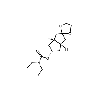 CCN(CC)C(=O)O[C@@H]1C[C@@H]2CC3(C[C@@H]2C1)OCCO3